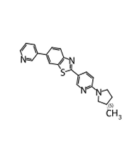 C[C@H]1CCN(c2ccc(-c3nc4ccc(-c5cccnc5)cc4s3)cn2)C1